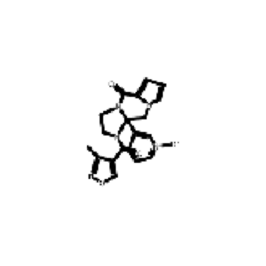 Cc1nocc1C(=O)N1CCN2C(=O)c3cccn3CC12c1ccc[n+]([O-])c1